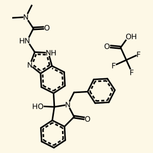 CN(C)C(=O)Nc1nc2cc(C3(O)c4ccccc4C(=O)N3Cc3ccccc3)ccc2[nH]1.O=C(O)C(F)(F)F